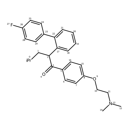 CC(C)CC(C(=O)c1ccc(OCCN(C)C)cc1)c1ccccc1-c1ccc(F)cc1